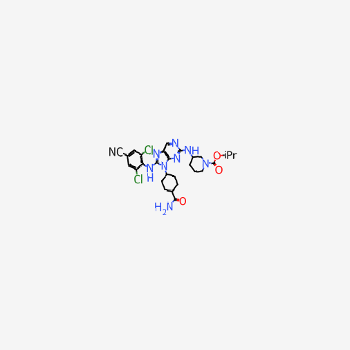 CC(C)OC(=O)N1CCCC(Nc2ncc3nc(Nc4c(Cl)cc(C#N)cc4Cl)n(C4CCC(C(N)=O)CC4)c3n2)C1